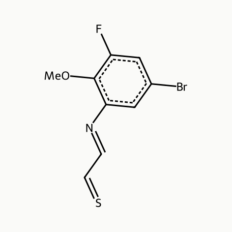 COc1c(F)cc(Br)cc1N=CC=S